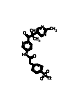 CCS(=O)(=O)c1ccc(CC(=O)Nc2ccc(C(=O)C(C)(C)c3cnc(C)nc3)nc2)cc1